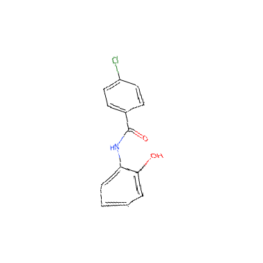 O=C(Nc1cc[c]cc1O)c1ccc(Cl)cc1